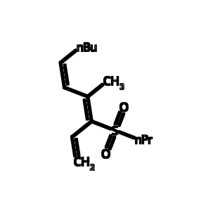 C=C/C(=C(C)\C=C/CCCC)S(=O)(=O)CCC